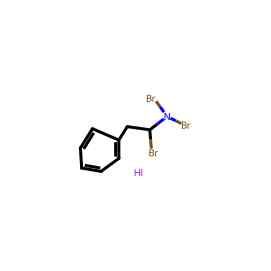 BrC(Cc1ccccc1)N(Br)Br.I